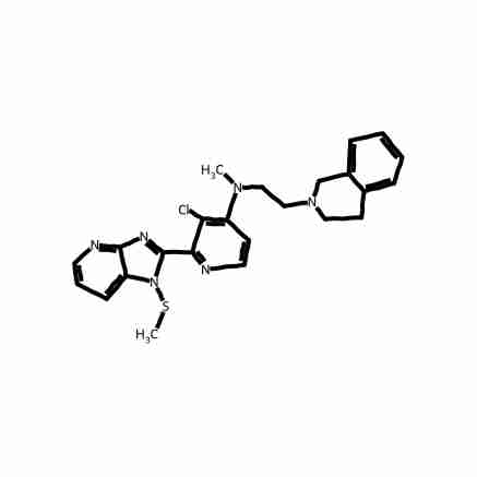 CSn1c(-c2nccc(N(C)CCN3CCc4ccccc4C3)c2Cl)nc2ncccc21